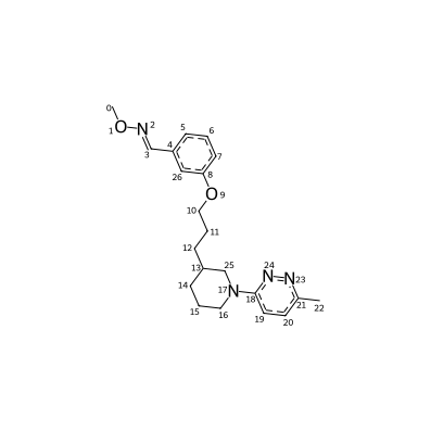 CON=Cc1cccc(OCCCC2CCCN(c3ccc(C)nn3)C2)c1